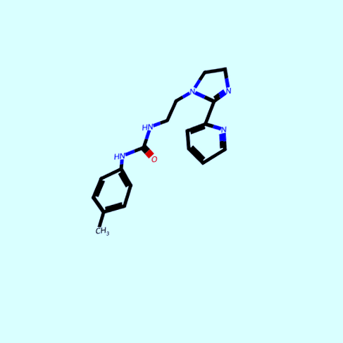 Cc1ccc(NC(=O)NCCN2CCN=C2c2ccccn2)cc1